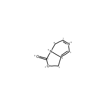 O=C1OCC2=CN=CCN12